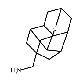 NCC12CC3C4CC5CC3C(C1)C(C5)C4C2